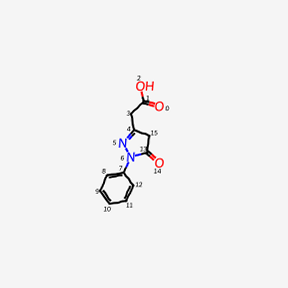 O=C(O)CC1=NN(c2ccccc2)C(=O)C1